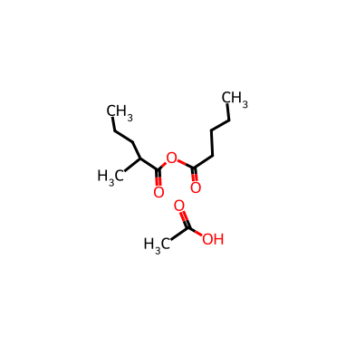 CC(=O)O.CCCCC(=O)OC(=O)C(C)CCC